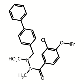 CC(C)Oc1ccc(C(=O)N(C)N(Cc2ccc(-c3ccccc3)cc2)C(=O)O)cc1Cl